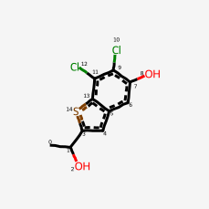 CC(O)c1cc2cc(O)c(Cl)c(Cl)c2s1